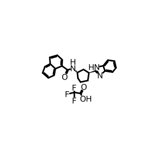 O=C(N[C@@H]1CCC[C@H](c2nc3ccccc3[nH]2)C1)c1cccc2ccccc12.O=C(O)C(F)(F)F